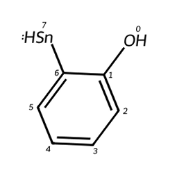 Oc1cccc[c]1[SnH]